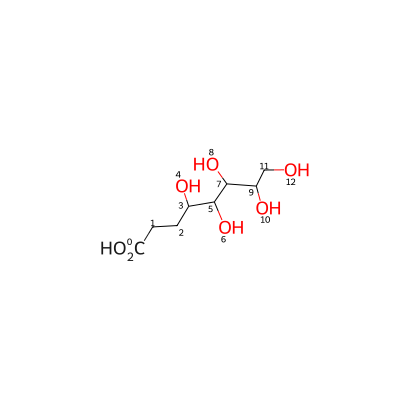 O=C(O)CCC(O)C(O)C(O)C(O)CO